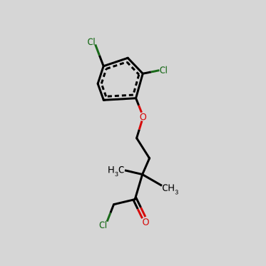 CC(C)(CCOc1ccc(Cl)cc1Cl)C(=O)CCl